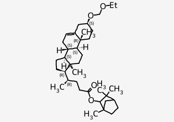 CCOCO[C@H]1CC[C@@]2(C)C(=CC[C@H]3[C@@H]4CC[C@H]([C@H](C)CCC(=O)OC5C6(C)CCC(C6)C5(C)C)[C@@]4(C)CC[C@@H]32)C1